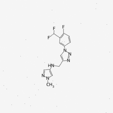 Cn1cc(NCc2cn(-c3ccc(F)c(C(F)F)c3)nn2)cn1